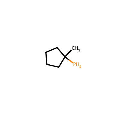 CC1(P)CCCC1